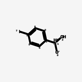 [O-][NH+](O)c1ccc(I)cc1